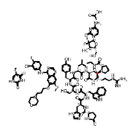 CC(=O)O.CCNC(=O)[C@@H]1CCCN1C(=O)[C@H](CCCNC(=N)N)NC(=O)[C@H](CC(C)C)NC(=O)[C@@H](CC(C)C)NC(=O)[C@H](Cc1ccc(O)cc1)NC(=O)[C@H](CO)NC(=O)[C@H](Cc1c[nH]c2ccccc12)NC(=O)[C@H](Cc1cnc[nH]1)NC(=O)[C@@H]1CCC(=O)N1.COc1cc2ncnc(Nc3ccc(F)c(Cl)c3)c2cc1OCCCN1CCOCC1.Nc1ccn([C@@H]2O[C@H](CO)[C@@H](O)C2(F)F)c(=O)n1.O=c1[nH]cc(F)c(=O)[nH]1